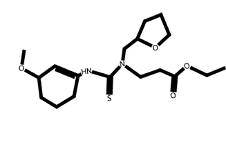 CCOC(=O)CCN(CC1CCCO1)C(=S)NC1=CC(OC)CCC1